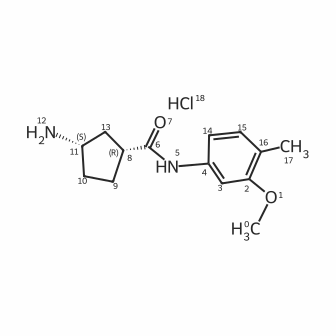 COc1cc(NC(=O)[C@@H]2CC[C@H](N)C2)ccc1C.Cl